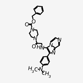 CN(C)c1ccc(-c2nc3cnccn3c2NCC(=O)N2CCN(C(=O)OCc3ccccc3)CC2)cc1